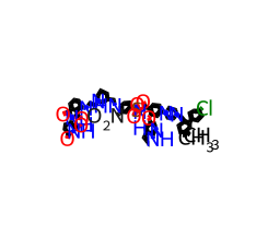 CC1(C)CCC(CN2CCN(c3ccc(C(=O)NS(=O)(=O)c4ccc(NCC5CCCN(CCNc6cccc7c6C(=O)N(C6CCC(=O)NC6=O)C7=O)C5)c([N+](=O)[O-])c4)c(Oc4cnc5[nH]ccc5c4)c3)CC2)=C(c2ccc(Cl)cc2)C1